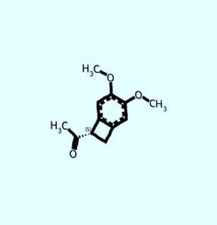 COc1cc2c(cc1OC)[C@@H](C(C)=O)C2